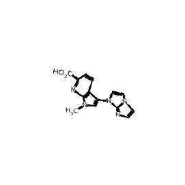 Cn1cc(-n2ccn3ccnc23)c2ccc(C(=O)O)nc21